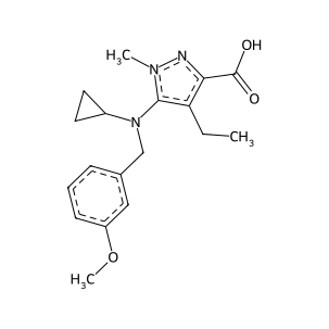 CCc1c(C(=O)O)nn(C)c1N(Cc1cccc(OC)c1)C1CC1